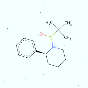 CC(C)(C)[S+]([O-])N1CCCC[C@H]1c1ccccc1